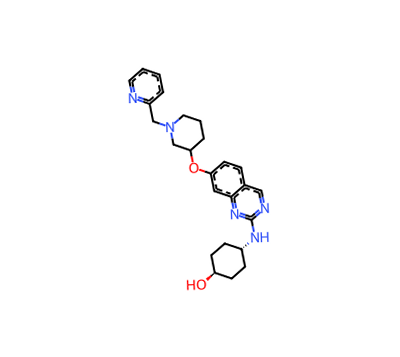 O[C@H]1CC[C@H](Nc2ncc3ccc(OC4CCCN(Cc5ccccn5)C4)cc3n2)CC1